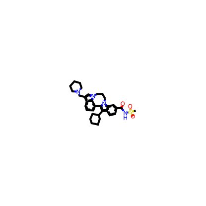 CS(=O)(=O)NC(=O)c1ccc2c(C3CCCCC3)c3n(c2c1)CCCn1cc(CN2CCCCC2)c2cccc-3c21